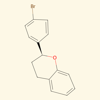 Brc1ccc([C@@H]2CCc3ccccc3O2)cc1